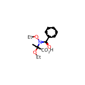 CCON(C(=O)c1ccccc1)C(C)(OCC)C(=O)O